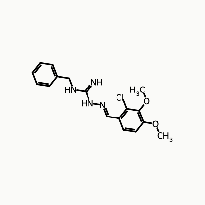 COc1ccc(C=NNC(=N)NCc2ccccc2)c(Cl)c1OC